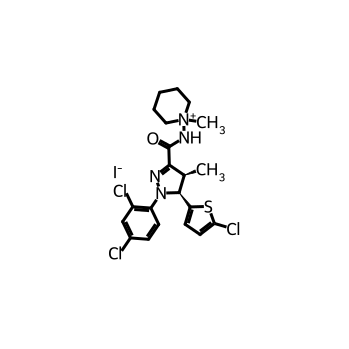 C[C@@H]1C(C(=O)N[N+]2(C)CCCCC2)=NN(c2ccc(Cl)cc2Cl)[C@@H]1c1ccc(Cl)s1.[I-]